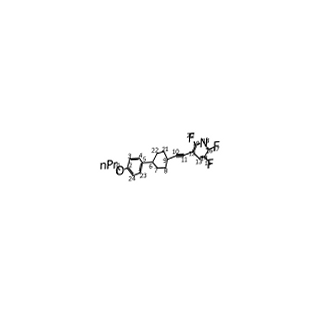 CCCOc1ccc(C2CCC(C#Cc3cc(F)c(F)nc3F)CC2)cc1